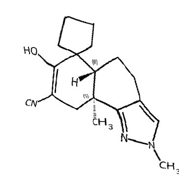 [C-]#[N+]C1=C(O)C2(CCCC2)[C@@H]2CCc3cn(C)nc3[C@@]2(C)C1